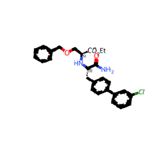 CCOC(=O)[C@H](COCc1ccccc1)N[C@@H](Cc1ccc(-c2cccc(Cl)c2)cc1)C(N)=O